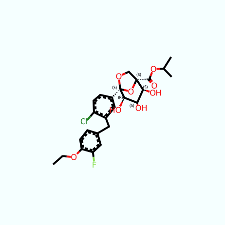 CCOc1ccc(Cc2cc([C@]34OC[C@](C(=O)OC(C)C)(O3)[C@@H](O)[C@H](O)[C@H]4O)ccc2Cl)cc1F